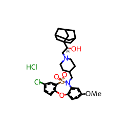 COc1ccc2c(c1)N(CC1CCN(C[C@H](O)C34CC5CC(CC(C5)C3)C4)CC1)S(=O)(=O)c1cc(Cl)ccc1O2.Cl